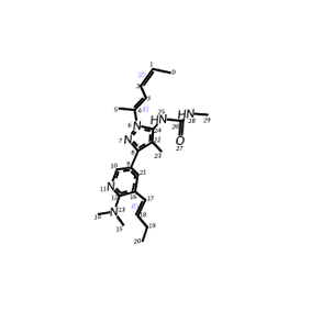 C/C=C\C=C(/C)n1nc(-c2cnc(N(C)C)c(/C=C/CC)c2)c(C)c1NC(=O)NC